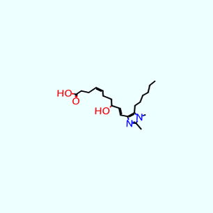 CCCCCCc1c(/C=C/[C@@H](O)CC/C=C\CCC(=O)O)nc(C)n1C